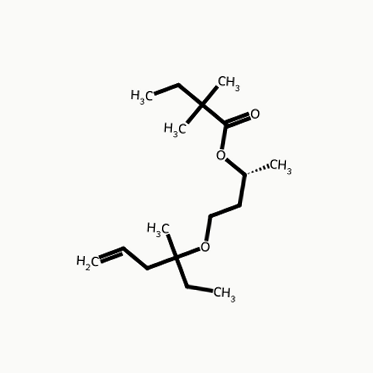 C=CCC(C)(CC)OCC[C@@H](C)OC(=O)C(C)(C)CC